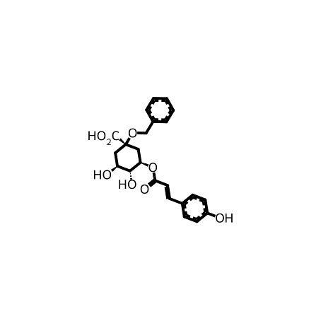 O=C(C=Cc1ccc(O)cc1)O[C@@H]1C[C@](OCc2ccccc2)(C(=O)O)C[C@H](O)[C@H]1O